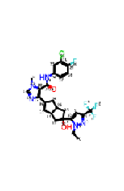 CCn1nc(C(F)(F)F)cc1C1(O)CC2CC(c3ncn(C)c3C(=O)Nc3ccc(F)c(Cl)c3)CC2C1